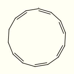 [C]1=CC=CC=CC=CC=CCCC=C1